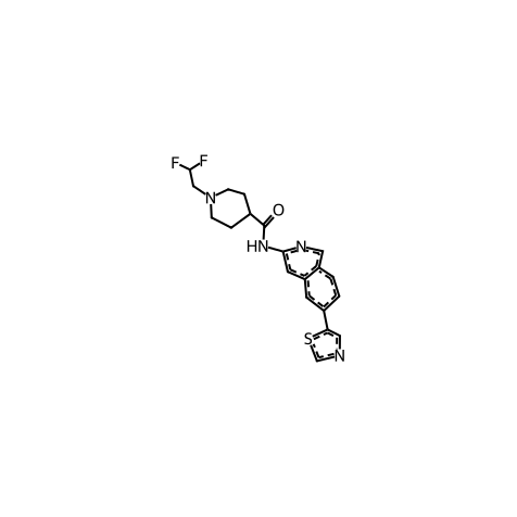 O=C(Nc1cc2cc(-c3cncs3)ccc2cn1)C1CCN(CC(F)F)CC1